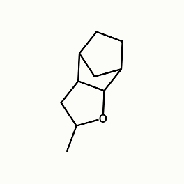 CC1CC2C3CCC(C3)C2O1